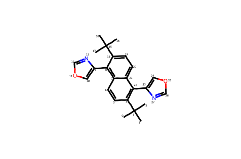 CC(C)(C)c1ccc2c(-c3cocn3)c(C(C)(C)C)ccc2c1-c1cocn1